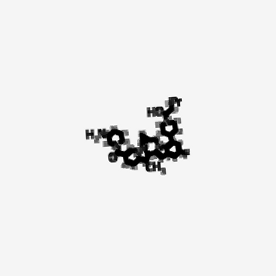 Cc1c(-c2cc3cc(F)cc(C4CCN(C(O)CC(C)C)CC4)c3n2CC2CC2)nn2cc(C(=O)N3CCC[C@@H](N)C3)ccc12